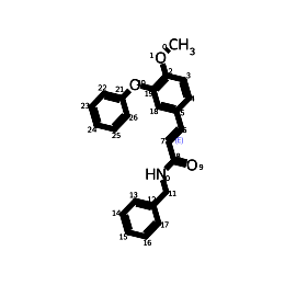 COc1ccc(/C=C/C(=O)NCc2ccccc2)cc1Oc1ccccc1